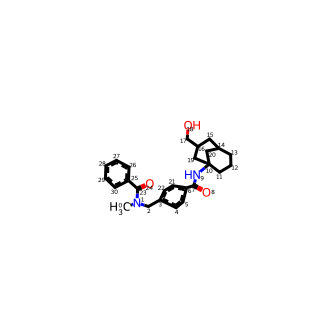 CN(Cc1ccc(C(=O)NC23CCCC(CC(CO)C2)C3)cc1)C(=O)c1ccccc1